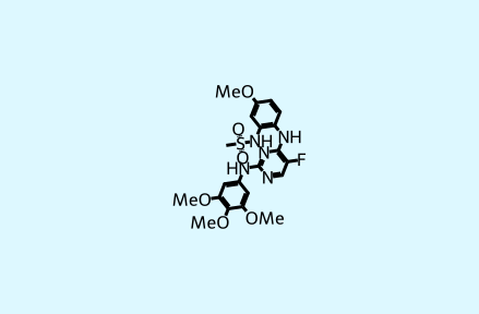 COc1ccc(Nc2nc(Nc3cc(OC)c(OC)c(OC)c3)ncc2F)c(NS(C)(=O)=O)c1